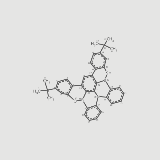 CC(C)(C)c1ccc2c(c1)OB1c3ccccc3N3c4ccccc4B4Sc5cc(C(C)(C)C)ccc5-c5cc-2c1c3c54